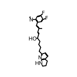 C=Nc1cc(F)c(F)cc1/C=C(C)/C=C/C(O)CCCCc1ccc2c(n1)NCCC2